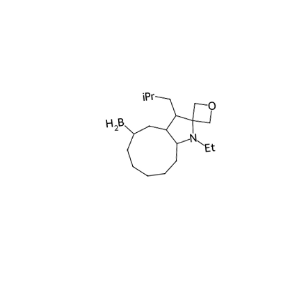 BC1CCCCCC2C(C1)C(CC(C)C)C1(COC1)N2CC